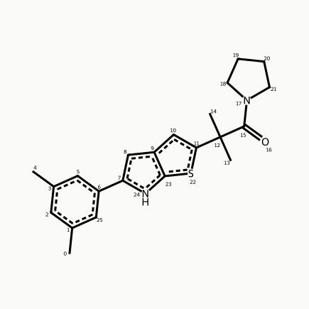 Cc1cc(C)cc(-c2cc3cc(C(C)(C)C(=O)N4CCCC4)sc3[nH]2)c1